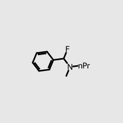 CCCN(C)C(F)c1ccccc1